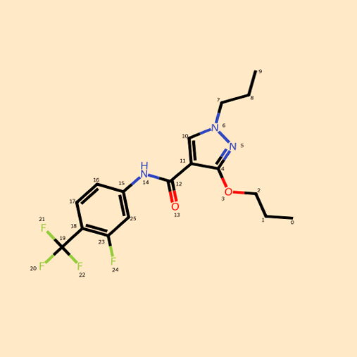 CCCOc1nn(CCC)cc1C(=O)Nc1ccc(C(F)(F)F)c(F)c1